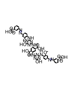 COc1cc(/N=N/c2cccc(S(=O)(=O)O)c2)ccc1Nc1nc(O)nc(Nc2cc(C(=O)O)c(Nc3nc(O)nc(Nc4ccc(/N=N/c5cccc(S(=O)(=O)O)c5)cc4OC)n3)cc2C(=O)O)n1